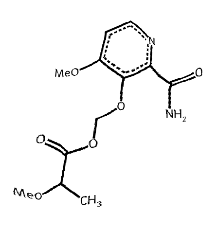 COc1ccnc(C(N)=O)c1OCOC(=O)C(C)OC